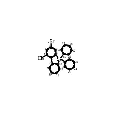 Clc1cc(Br)cc2c1-c1ccccc1[Si]2(c1ccccc1)c1ccccc1